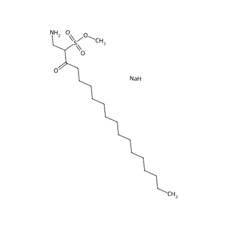 CCCCCCCCCCCCCCCC(=O)C(CN)S(=O)(=O)OC.[NaH]